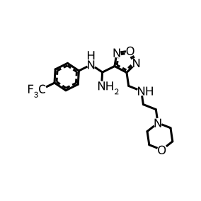 NC(Nc1ccc(C(F)(F)F)cc1)c1nonc1CNCCN1CCOCC1